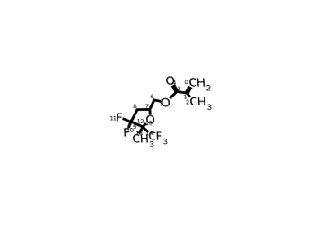 C=C(C)C(=O)OCC1CC(F)(F)C(C)(C(F)(F)F)O1